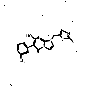 O=c1c(-c2cccc(C(F)(F)F)c2)c(O)nc2n(Cc3cnc(Cl)s3)ccn12